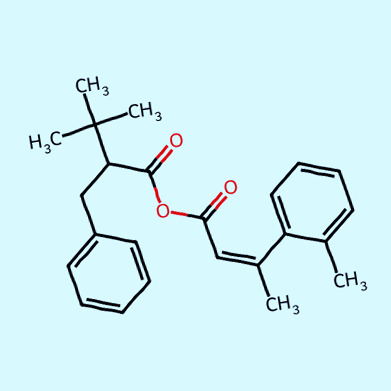 CC(=CC(=O)OC(=O)C(Cc1ccccc1)C(C)(C)C)c1ccccc1C